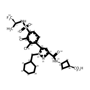 C[C@H](NS(=O)(=O)c1ccc(-c2cc(C(=O)N[C@H]3C[C@H](C(=O)O)C3)nn2CC2CCCCC2)c(Cl)c1Cl)C(F)(F)F